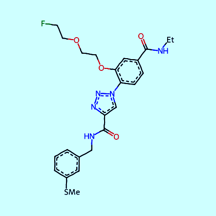 CCNC(=O)c1ccc(-n2cc(C(=O)NCc3cccc(SC)c3)nn2)c(OCCOCCF)c1